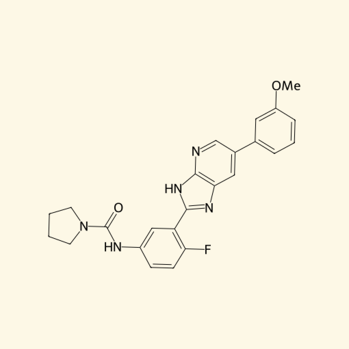 COc1cccc(-c2cnc3[nH]c(-c4cc(NC(=O)N5CCCC5)ccc4F)nc3c2)c1